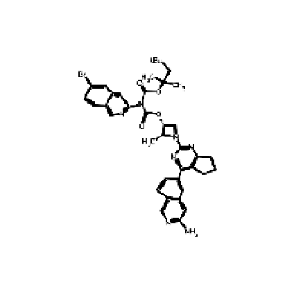 C[C@H]1[C@H](OC(=O)N(C(=O)OC(C)(C)CC(C)(C)C)c2cc3cc(Br)ccc3cn2)CN1c1nc2c(c(-c3ccc4cnc(N)cc4c3)n1)CCC2